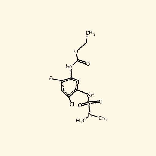 CCOC(=O)Nc1cc(NS(=O)(=O)N(C)C)c(Cl)cc1F